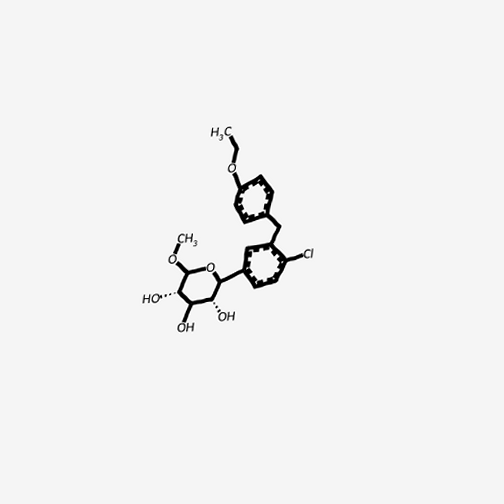 CCOc1ccc(Cc2cc(C3OC(OC)[C@@H](O)C(O)[C@H]3O)ccc2Cl)cc1